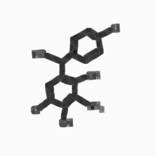 Nc1c(O)c(Cl)cc(C(O)c2ccc(Cl)cc2)c1O